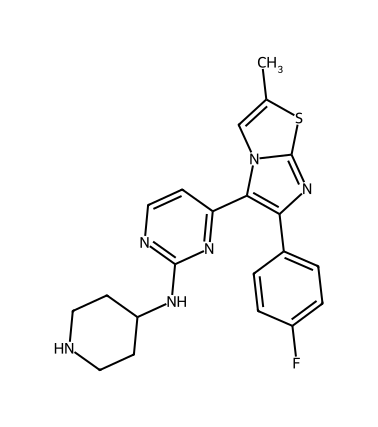 Cc1cn2c(-c3ccnc(NC4CCNCC4)n3)c(-c3ccc(F)cc3)nc2s1